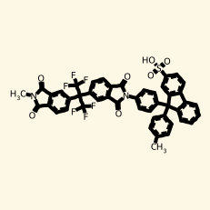 Cc1ccc(C2(c3ccc(N4C(=O)c5ccc(C(c6ccc7c(c6)C(=O)N(C)C7=O)(C(F)(F)F)C(F)(F)F)cc5C4=O)cc3)c3ccccc3-c3ccc(S(=O)(=O)O)cc32)cc1